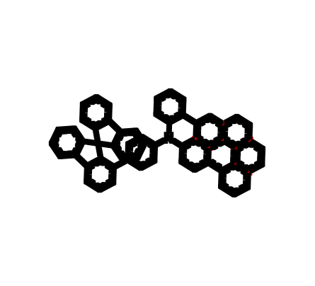 c1ccc(-c2ccc(-c3ccccc3N(c3ccc(-c4cccc5c4C4(c6ccccc6-c6ccccc64)c4ccccc4-5)cc3)c3ccc4c5ccccc5c5ccccc5c4c3)cc2)cc1